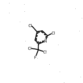 FC(Cl)(Cl)c1cc(Cl)cc(Cl)n1